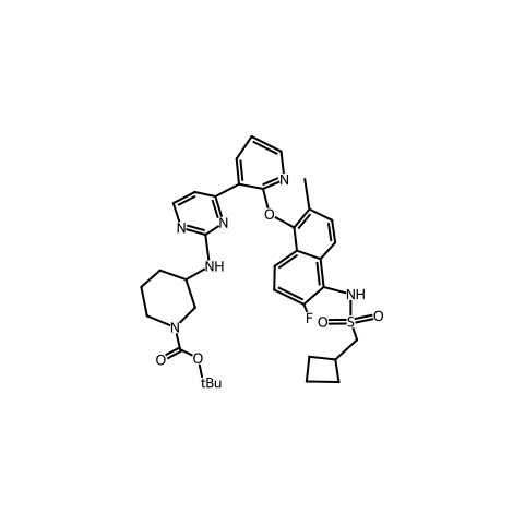 Cc1ccc2c(NS(=O)(=O)CC3CCC3)c(F)ccc2c1Oc1ncccc1-c1ccnc(NC2CCCN(C(=O)OC(C)(C)C)C2)n1